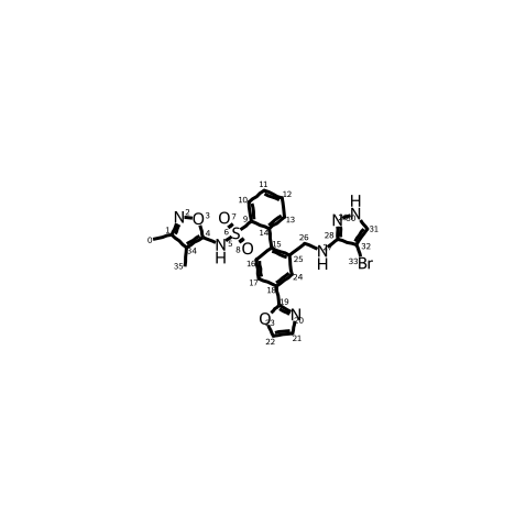 Cc1noc(NS(=O)(=O)c2ccccc2-c2ccc(-c3ncco3)cc2CNc2n[nH]cc2Br)c1C